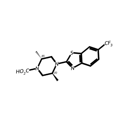 C[C@@H]1CN(c2nc3ccc(C(F)(F)F)cc3s2)[C@@H](C)CN1C(=O)O